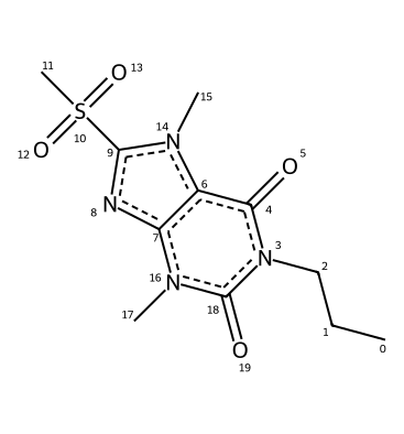 CCCn1c(=O)c2c(nc(S(C)(=O)=O)n2C)n(C)c1=O